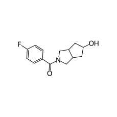 O=C(c1ccc(F)cc1)N1CC2CC(O)CC2C1